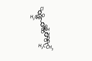 CCC(CC)OC(=O)Oc1ccc(C(=O)NS(=O)(=O)c2ccc(CCNC(=O)c3cc(Cl)ccc3OC)cc2)cn1